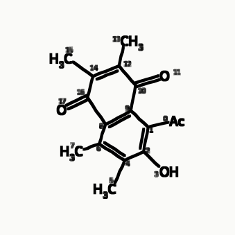 CC(=O)c1c(O)c(C)c(C)c2c1C(=O)C(C)=C(C)C2=O